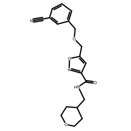 N#Cc1cccc(COCc2cc(C(=O)NCC3CCOCC3)no2)c1